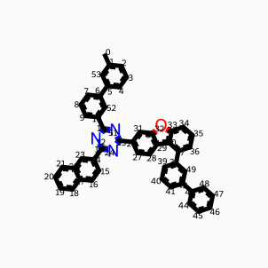 Cc1cccc(-c2cccc(-c3nc(-c4ccc5ccccc5c4)nc(-c4ccc5c(c4)oc4cccc(-c6cccc(-c7ccccc7)c6)c45)n3)c2)c1